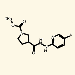 CC(C)(C)OC(=O)N1CCC(C(=O)NNc2ccc(F)cn2)C1